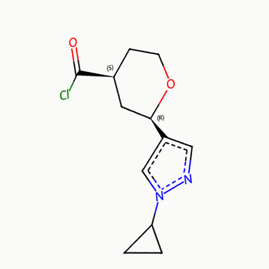 O=C(Cl)[C@H]1CCO[C@@H](c2cnn(C3CC3)c2)C1